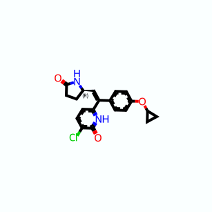 O=C1CC[C@H](C=C(c2ccc(OC3CC3)cc2)c2ccc(Cl)c(=O)[nH]2)N1